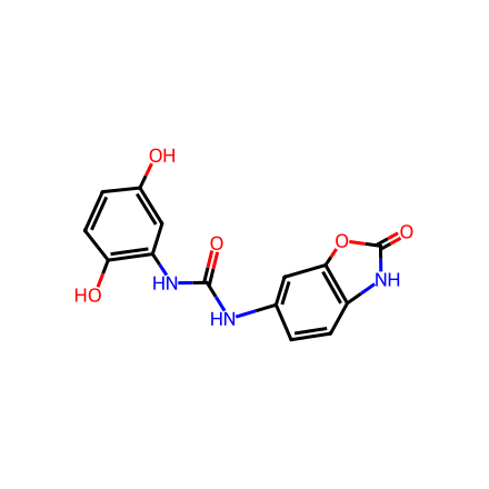 O=C(Nc1ccc2[nH]c(=O)oc2c1)Nc1cc(O)ccc1O